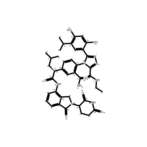 CCNC(=O)c1nnc(-c2cc(C(C)C)c(O)cc2O)n1-c1ccc([C@H](CC(C)C)C(=O)Nc2cccc3c2CN(C2CCC(=O)NC2=O)C3=O)cc1C(N)=O